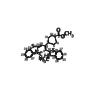 COC(=O)C1CCC(C(=C\C2=[PH](C)c3ccccc3S2)/C=C2/Sc3ccccc3N2C)CC1